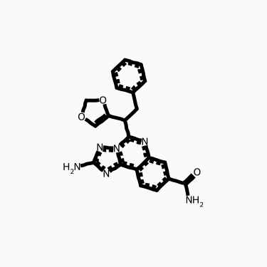 NC(=O)c1ccc2c(c1)nc(C(Cc1ccccc1)C1=COCO1)n1nc(N)nc21